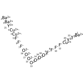 [Ba+2].[Ba+2].[Ba+2].[Cu+2].[Cu+2].[Cu+2].[F-].[F-].[F-].[F-].[F-].[F-].[F-].[O-2].[O-2].[O-2].[O-2].[O-2].[O-2].[O-2].[Y+3].[Y+3].[Y+3]